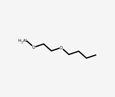 CCCCOCC[O][AlH2]